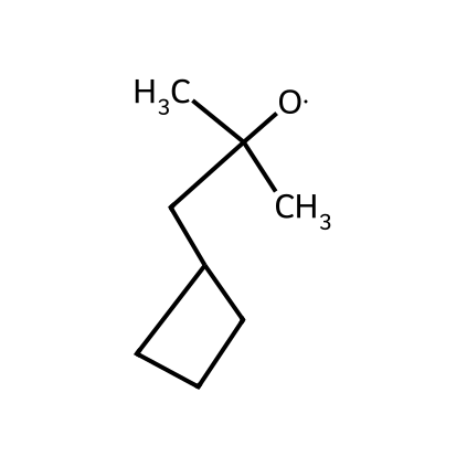 CC(C)([O])CC1CCC1